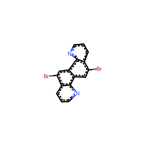 Brc1cc2c(cc(Br)c3cccnc32)c2ncccc12